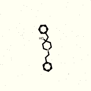 OC1(Cc2ccccc2)CCN(CCc2ccccc2)CC1